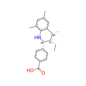 CC[C@H]1[C@@H](C)c2cc(C)cc(C)c2N[C@H]1c1ccc(C(=O)O)cc1